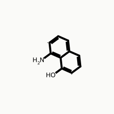 Nc1[c]ccc2cc[c]c(O)c12